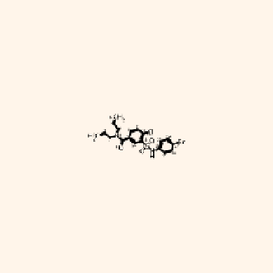 C=CCN(CC=C)C(=O)c1ccc(Cl)c(S(=O)(=O)Nc2ccc(Br)cc2)c1